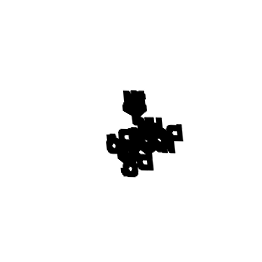 COc1cc(OC)c(Cl)c(-c2cc3cnc(Cl)cc3c(NCc3cnn(C)c3)n2)c1Cl